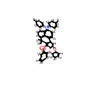 Cc1ccc(N(c2ccc(C)cc2)c2ccc3c4c(cccc24)C(C)(C)c2c-3cc3c4c2Oc2ccccc2B4c2ccccc2O3)cc1